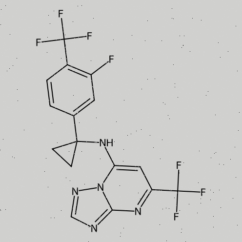 Fc1cc(C2(Nc3cc(C(F)(F)F)nc4ncnn34)CC2)ccc1C(F)(F)F